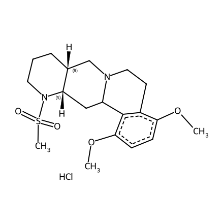 COc1ccc(OC)c2c1CCN1C[C@H]3CCCN(S(C)(=O)=O)[C@H]3CC21.Cl